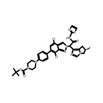 CC(C)(C)OC(=O)N1CCN(c2ccc(-c3cc(Cl)c4cn(C(C(=O)Nc5nccs5)c5ncn6c5C[C@@H](F)C6)nc4c3Cl)cc2)CC1